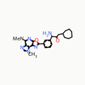 CNc1nc2oc(-c3cccc(C(N)C(=O)CC4CCCCCC4)c3)nc2c2c1ncn2C